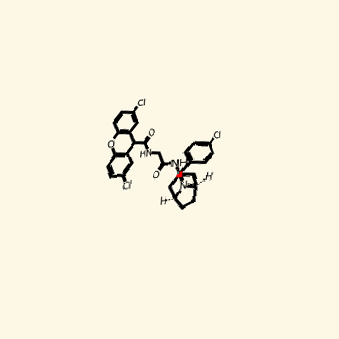 O=C(CNC(=O)C1c2cc(Cl)ccc2Oc2ccc(Cl)cc21)N[C@H]1C[C@H]2CC[C@@H](C1)N2Cc1ccc(Cl)cc1